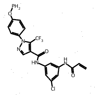 C=CC(=O)Nc1cc(Cl)cc(NC(=O)c2cnn(-c3ccc(OP)cc3)c2C(F)(F)F)c1